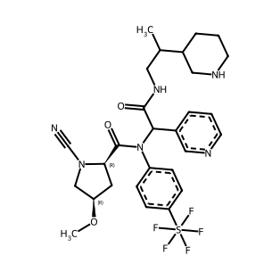 CO[C@@H]1C[C@H](C(=O)N(c2ccc(S(F)(F)(F)(F)F)cc2)C(C(=O)NCC(C)C2CCCNC2)c2cccnc2)N(C#N)C1